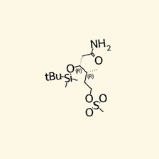 C[C@H](CCOS(C)(=O)=O)[C@@H](CC(N)=O)O[Si](C)(C)C(C)(C)C